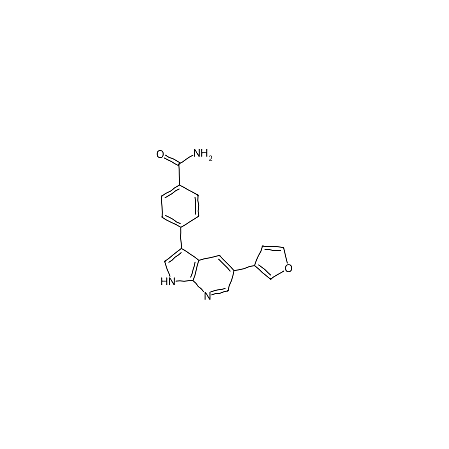 NC(=O)c1ccc(-c2c[nH]c3ncc(-c4ccoc4)cc23)cc1